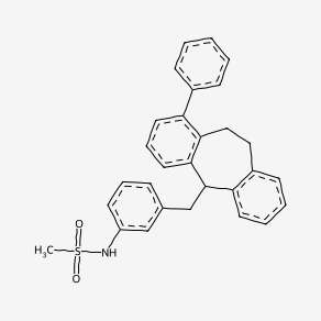 CS(=O)(=O)Nc1cccc(CC2c3ccccc3CCc3c(-c4ccccc4)cccc32)c1